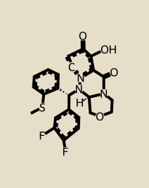 CSc1ccccc1[C@@H](c1ccc(F)c(F)c1)N1[C@@H]2COCCN2C(=O)c2c(O)c(=O)ccn21